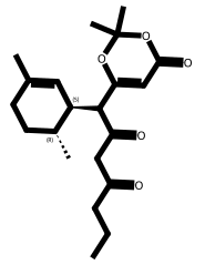 CCCC(=O)CC(=O)C(C1=CC(=O)OC(C)(C)O1)[C@@H]1C=C(C)CC[C@H]1C